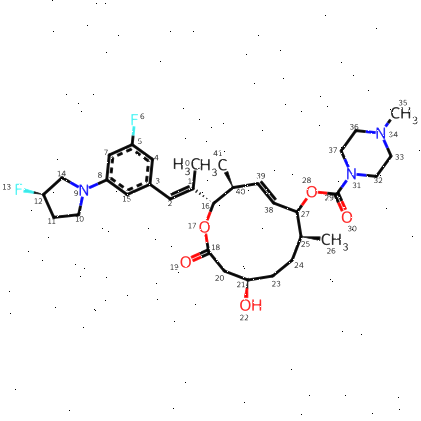 C/C(=C\c1cc(F)cc(N2CC[C@@H](F)C2)c1)[C@H]1OC(=O)C[C@H](O)CC[C@H](C)C(OC(=O)N2CCN(C)CC2)/C=C/[C@@H]1C